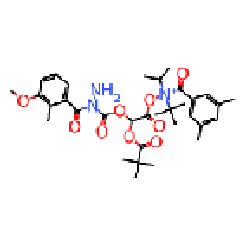 COc1cccc(C(=O)N(N)C(=O)OC(OC(=O)C(C)(C)C)C(=O)O[N+](C(=O)c2cc(C)cc(C)c2)(C(C)C)C(C)(C)C)c1C